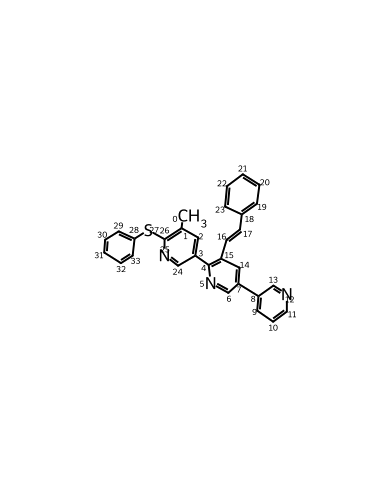 Cc1cc(-c2ncc(-c3cccnc3)cc2/C=C/c2ccccc2)cnc1Sc1ccccc1